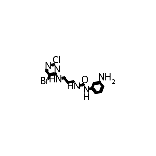 Nc1cccc(NC(=O)NCCCNc2nc(Cl)ncc2Br)c1